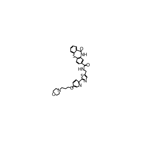 O=C(NCc1cnc(-c2ccc(OCCCN3CCOCC3)cn2)s1)c1ccc2c(c1)NC(=O)c1ccccc1S2